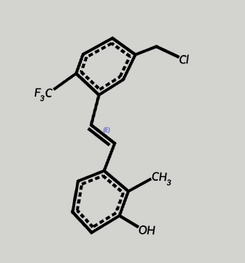 Cc1c(O)cccc1/C=C/c1cc(CCl)ccc1C(F)(F)F